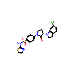 O=C1[C@@H](N2CCc3ccc(Cl)cc32)CCN1c1ccc(S(=O)(=O)Nc2nccs2)cc1